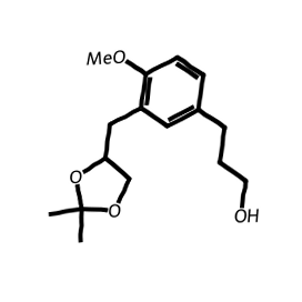 COc1ccc(CCCO)cc1CC1COC(C)(C)O1